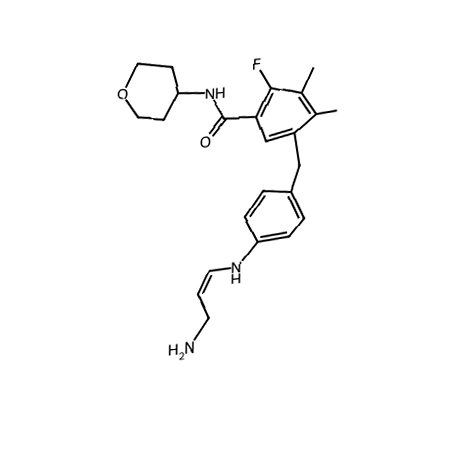 Cc1c(Cc2ccc(N/C=C\CN)cc2)cc(C(=O)NC2CCOCC2)c(F)c1C